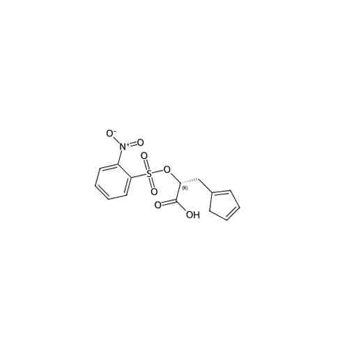 O=C(O)[C@@H](CC1=CC=CC1)OS(=O)(=O)c1ccccc1[N+](=O)[O-]